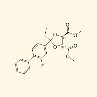 CCC1(c2ccc(-c3ccccc3)c(F)c2)O[C@@H](C(=O)OC)[C@H](C(=O)OC)O1